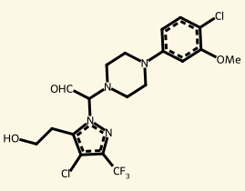 COc1cc(N2CCN(C(C=O)n3nc(C(F)(F)F)c(Cl)c3CCO)CC2)ccc1Cl